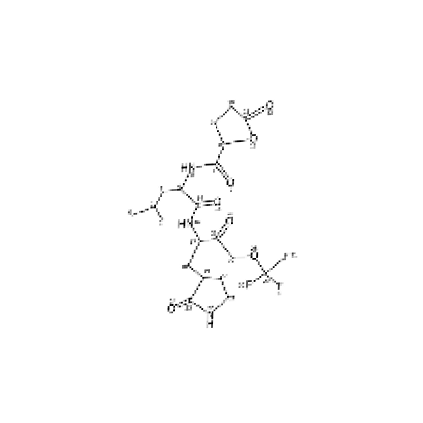 CC(C)CC(NC(=O)C1CCC(=O)O1)C(=O)NC(CC1CCNC1=O)C(=O)COC(F)(F)F